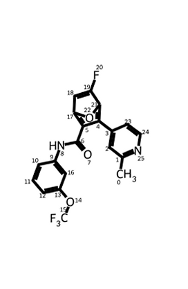 Cc1cc(-c2c(C(=O)Nc3cccc(OC(F)(F)F)c3)c3cc(F)c2o3)ccn1